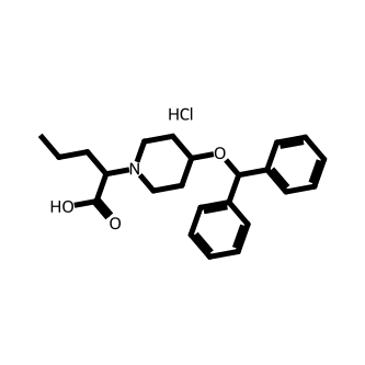 CCCC(C(=O)O)N1CCC(OC(c2ccccc2)c2ccccc2)CC1.Cl